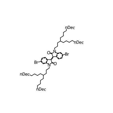 CCCCCCCCCCCCCCC(CCCCCCCCCCCCCC)CCCN1C(=O)/C(=C2/C(=O)N(CCCC(CCCCCCCCCCCCCC)CCCCCCCCCCCCCC)c3cc(Br)ccc32)c2ccc(Br)cc21